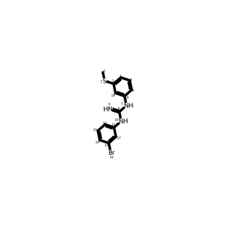 CSc1cccc(NC(=N)Nc2cccc(Br)c2)c1